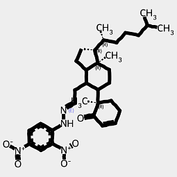 CC(C)CCC[C@@H](C)[C@H]1CCC2C(C/C=N/Nc3ccc([N+](=O)[O-])cc3[N+](=O)[O-])C([C@@]3(C)CCC=CC3=O)CC[C@@]21C